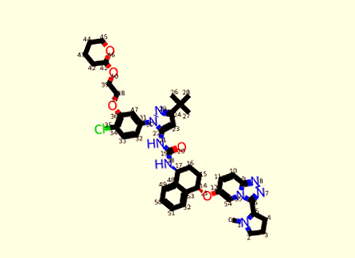 CN1CCCC1c1nnc2ccc(O[C@@H]3CC[C@H](NC(=O)Nc4cc(C(C)(C)C)nn4-c4ccc(Cl)c(OCCOC5CCCCO5)c4)c4ccccc43)cn12